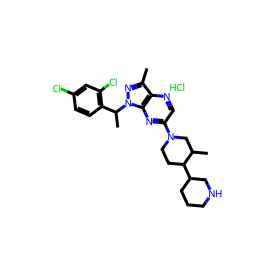 Cc1nn(C(C)c2ccc(Cl)cc2Cl)c2nc(N3CCC(C4CCCNC4)C(C)C3)cnc12.Cl